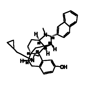 CN1[C@@H]2CC[C@]34C[C@@H]([C@H]2[C@]32CCN(CC3CC3)[C@@H]4Cc3ccc(O)cc32)[C@H]1c1ccc2ccccc2c1